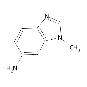 Cn1cnc2ccc(N)cc21